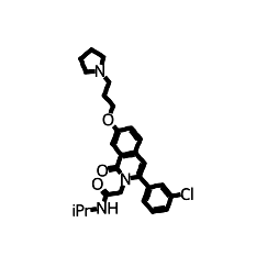 CC(C)NC(=O)Cn1c(-c2cccc(Cl)c2)cc2ccc(OCCCN3CCCC3)cc2c1=O